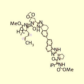 C=C(/C=C\C=C/C)[C@@H](NC(=O)OC)C(=O)N1CC2(CC1c1nc3c([nH]1)-c1ccc(-c4ccc5c(ccc6nc([C@@H]7CCCN7C(=O)[C@@H](NC(=O)OC)C(C)C)[nH]c65)c4)cc1CC3)OCCO2